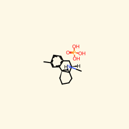 Cc1ccc2c(c1)[C@@]13CCCC[C@H]1[C@@H](C2)N(C)CC3.O=P(O)(O)O